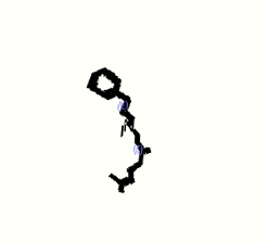 CC(C)=CCC/C(C)=C/CN(I)C/C=C/c1ccccc1